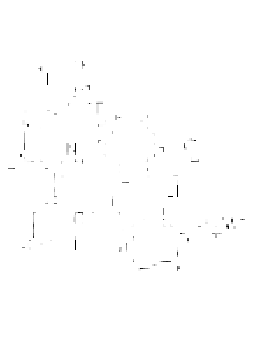 CCOC(=O)CC1OC(c2cccc(OC)c2Cl)c2cc(Cl)ccc2-n2c1nnc2C(C)(F)F